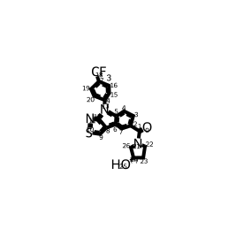 O=C(c1ccc2c(c1)c1csnc1n2-c1ccc(C(F)(F)F)cc1)N1CC[C@@H](O)C1